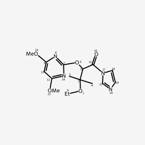 CCOC(C)(C)C(Oc1nc(OC)cc(OC)n1)C(=O)n1ccnc1